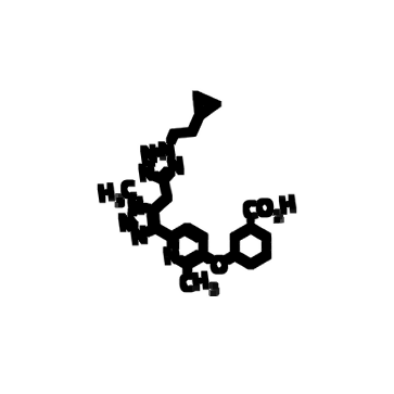 Cc1nc(-c2nnn(C)c2Cc2nnn(CCC3CC3)n2)ccc1OC1CCC[C@H](C(=O)O)C1